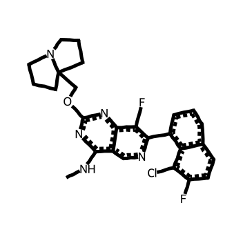 CNc1nc(OCC23CCCN2CCC3)nc2c(F)c(-c3cccc4ccc(F)c(Cl)c34)ncc12